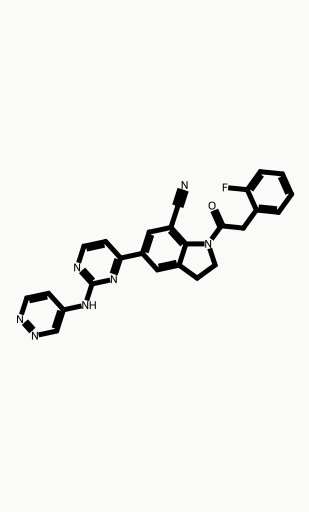 N#Cc1cc(-c2ccnc(Nc3ccnnc3)n2)cc2c1N(C(=O)Cc1ccccc1F)CC2